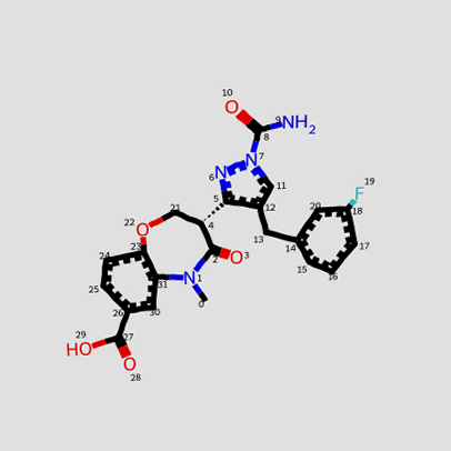 CN1C(=O)[C@@H](c2nn(C(N)=O)cc2Cc2cccc(F)c2)COc2ccc(C(=O)O)cc21